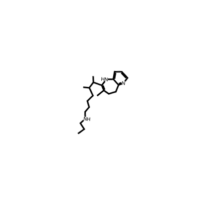 CCCNCCCCC(C)C(C)C1=C(C)CCc2ncccc2N1